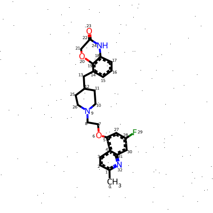 Cc1ccc2c(OCCN3CCC(Cc4cccc5c4OCC(=O)N5)CC3)cc(F)cc2n1